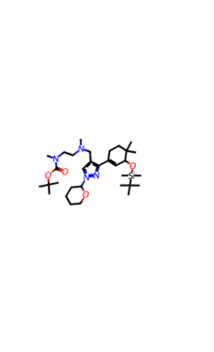 CN(CCN(C)C(=O)OC(C)(C)C)Cc1cn(C2CCCCO2)nc1C1=CC(O[Si](C)(C)C(C)(C)C)C(C)(C)CC1